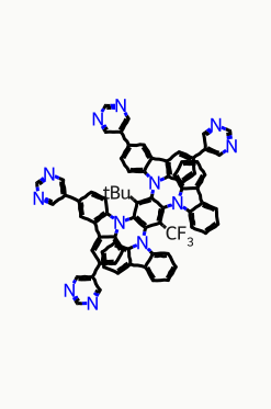 CC(C)(C)c1c(-n2c3ccc(-c4cncnc4)cc3c3cc(-c4cncnc4)ccc32)c(-n2c3ccccc3c3ccccc32)c(C(F)(F)F)c(-n2c3ccccc3c3ccccc32)c1-n1c2ccc(-c3cncnc3)cc2c2cc(-c3cncnc3)ccc21